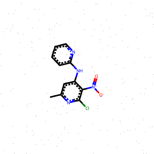 Cc1cc(Nc2ccccn2)c([N+](=O)[O-])c(Cl)n1